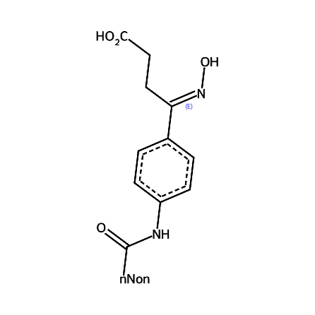 CCCCCCCCCC(=O)Nc1ccc(/C(CCC(=O)O)=N/O)cc1